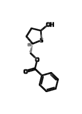 O=C(OC[C@@H]1CCC(O)S1)c1ccccc1